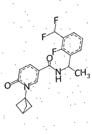 CC(NC(=O)c1ccc(=O)n(C23CC(C2)C3)c1)c1cccc(C(F)F)c1F